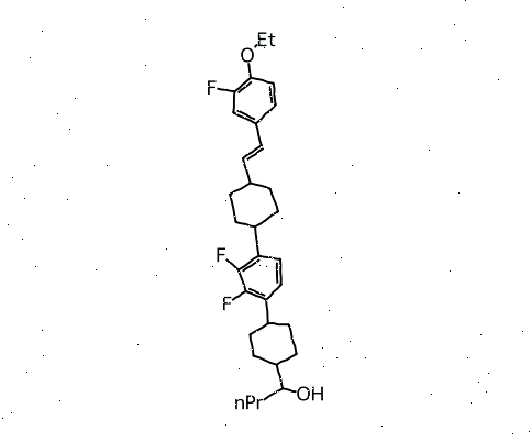 CCCC(O)C1CCC(c2ccc(C3CCC(/C=C/c4ccc(OCC)c(F)c4)CC3)c(F)c2F)CC1